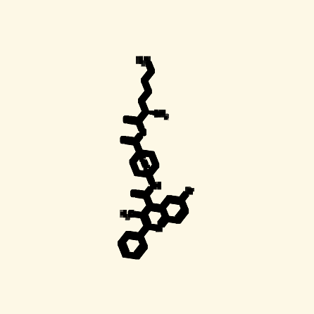 Cc1c(-c2ccccc2)nc2ccc(Br)cc2c1C(=O)NC12CCC(C(=O)OC(=O)[C@@H](N)CCCCN)(CC1)CC2